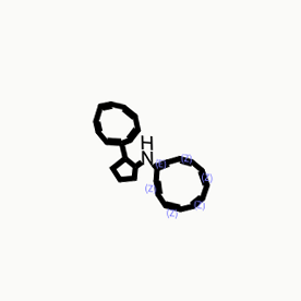 C1=C\C=C/C=C\C(NC2CCCC2c2ccccccccc2)=C/C=C\C=C/1